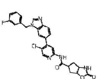 O=C1NC2CC(C(=O)Nc3cc(-c4ccc5ncn(Cc6cccc(F)c6)c5c4)c(Cl)cn3)CC2O1